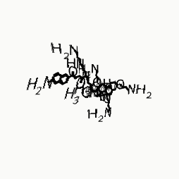 C[C@H](CCCN(CCCNCCCN)C(=O)CCC(=O)c1ccc2cc(N)ccc2c1)[C@H]1CC[C@H]2C3[C@H](OCCCN)CC4C[C@H](OCCCN)CC[C@]4(C)[C@H]3C[C@H](OCCCN)[C@]12C